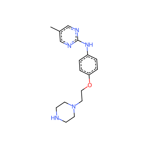 Cc1cnc(Nc2ccc(OCCN3CCNCC3)cc2)nc1